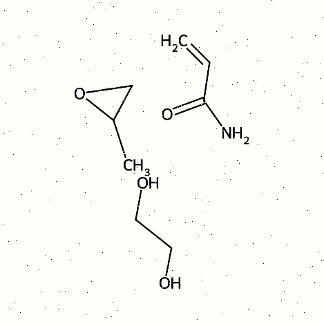 C=CC(N)=O.CC1CO1.OCCO